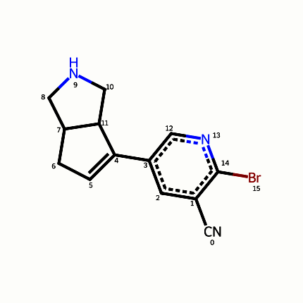 N#Cc1cc(C2=CCC3CNCC23)cnc1Br